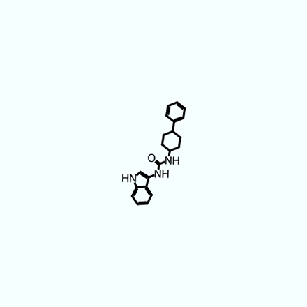 O=C(Nc1c[nH]c2ccccc12)NC1CCC(c2ccccc2)CC1